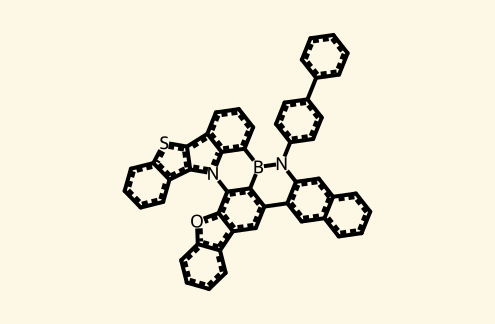 c1ccc(-c2ccc(N3B4c5c(cc6c(oc7ccccc76)c5-n5c6c4cccc6c4sc6ccccc6c45)-c4cc5ccccc5cc43)cc2)cc1